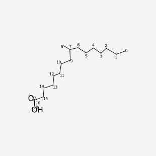 CCCCCCCC(C)CCCCCCCC(=O)O